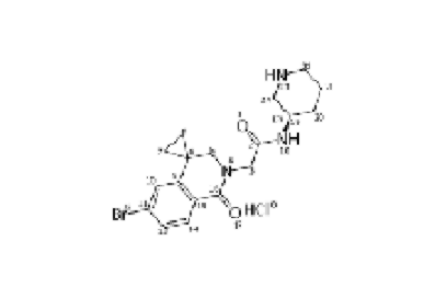 Cl.O=C(CN1CC2(CC2)c2cc(Br)ccc2C1=O)N[C@@H]1CCCNC1